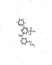 COc1cccc(Nc2cc(C(F)(F)F)nc(-c3ccccn3)n2)c1